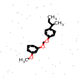 CCC(C)c1ccc(OCOc2cccc(OC)c2)cc1